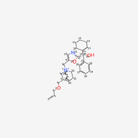 C=CCOCC1C[N+]2(Cc3cnc([C@](O)(c4ccccc4)C4CCCCC4)o3)CCC1CC2